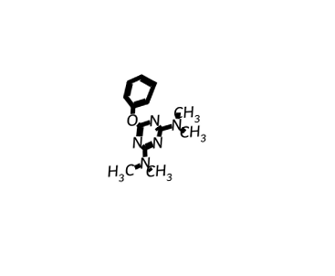 CN(C)c1nc(Oc2ccccc2)nc(N(C)C)n1